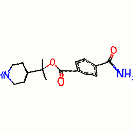 CC(C)(OC(=O)c1ccc(C(N)=O)cc1)C1CCNCC1